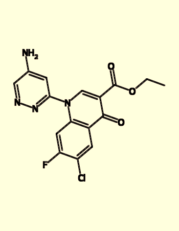 CCOC(=O)c1cn(-c2cc(N)cnn2)c2cc(F)c(Cl)cc2c1=O